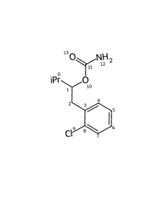 CC(C)C(Cc1ccccc1Cl)OC(N)=O